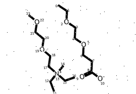 CCOCCOCCC(=O)[O-].CC[N+](C)(CC)CCOCCOC